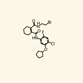 O=C(NCCBr)C1=C(C(=O)Nc2cc(OC3CCCC3)c(Cl)cc2F)CCCC1